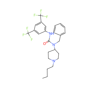 CCCCN1CCC(N(Cc2ccccc2)C(=O)Nc2cc(C(F)(F)F)cc(C(F)(F)F)c2)CC1